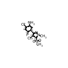 Cn1nc(-c2cc(N)c(Cl)cc2F)c(Cl)c1S(C)(=O)=O